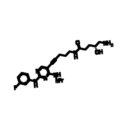 CCCNc1nc(Nc2cccc(F)c2)ncc1C#CCCCNC(=O)CC[C@@H](O)CN